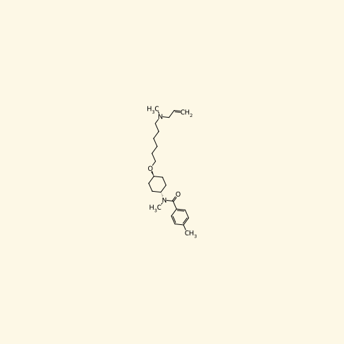 C=CCN(C)CCCCCCO[C@H]1CC[C@H](N(C)C(=O)c2ccc(C)cc2)CC1